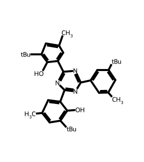 Cc1cc(-c2nc(-c3cc(C)cc(C(C)(C)C)c3O)nc(-c3cc(C)cc(C(C)(C)C)c3O)n2)cc(C(C)(C)C)c1